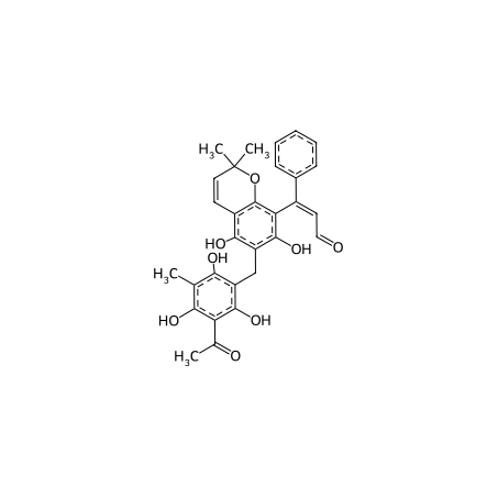 CC(=O)c1c(O)c(C)c(O)c(Cc2c(O)c3c(c(/C(=C\C=O)c4ccccc4)c2O)OC(C)(C)C=C3)c1O